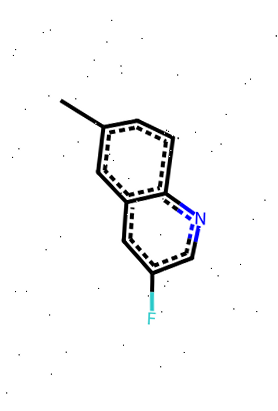 Cc1c[c]c2ncc(F)cc2c1